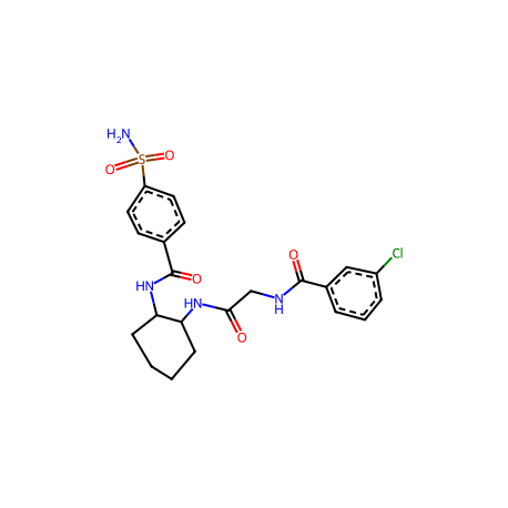 NS(=O)(=O)c1ccc(C(=O)NC2CCCCC2NC(=O)CNC(=O)c2cccc(Cl)c2)cc1